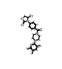 CCC1COC(=O)N1c1ccc(C(=O)N2CCN(c3nc(C)c(C)cc3C)CC2)cc1